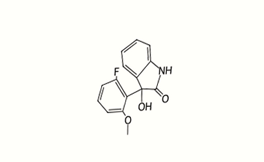 COc1cccc(F)c1C1(O)C(=O)Nc2ccccc21